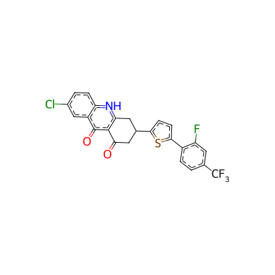 O=C1CC(c2ccc(-c3ccc(C(F)(F)F)cc3F)s2)Cc2[nH]c3ccc(Cl)cc3c(=O)c21